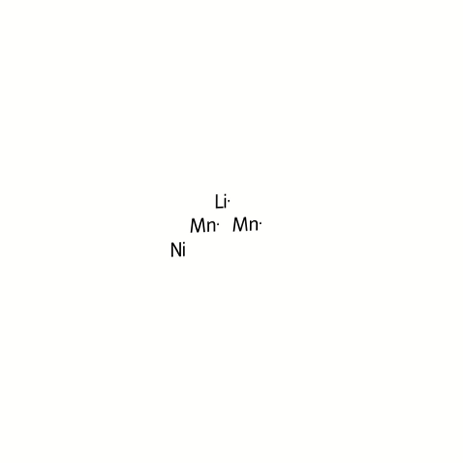 [Li].[Mn].[Mn].[Ni]